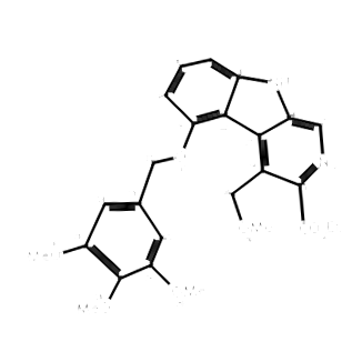 CCOC(=O)c1ncc2[nH]c3cccc(OCc4cc(OC)c(OC)c(OC)c4)c3c2c1COC